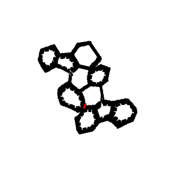 C1=Cc2c(c3ccccc3n2-c2ccccc2-c2ccccc2-n2c3ccccc3c3ccccc32)CC1